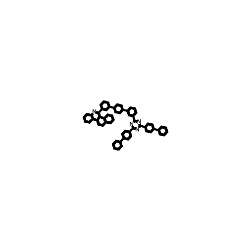 c1ccc(-c2ccc(-c3nc(-c4ccc(-c5ccccc5)cc4)nc(-c4cccc(-c5ccc(-c6cccc(-c7nc8ccccc8c8ccc9ccccc9c78)c6)cc5)c4)n3)cc2)cc1